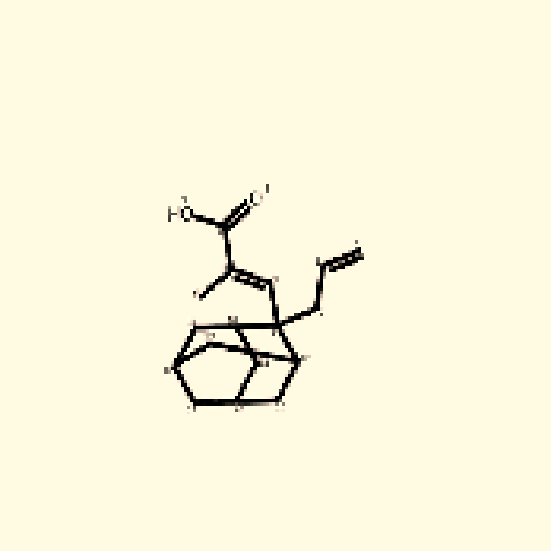 C=CCC1(C=C(C)C(=O)O)C2CC3CC(C2)CC1C3